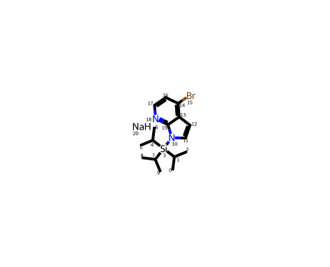 CC(C)[Si](C(C)C)(C(C)C)n1ccc2c(Br)ccnc21.[NaH]